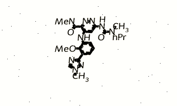 CCCN(C)C(=O)Nc1cc(Nc2cccc(-c3ncn(C)n3)c2OC)c(C(=O)NC)nn1